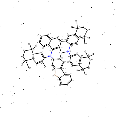 Cc1cc2c(cc1N1c3cc4sc5ccccc5c4cc3B3c4c(cc5ccccc5c41)-c1cc4c(cc1N3c1ccc3c(c1)C(C)(C)CCC3(C)C)C(C)(C)CCC4(C)C)C(C)(C)CCC2(C)C